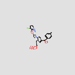 Cc1ccc(C(=O)c2ccc(N3CCC(Oc4ncccc4F)C3)c(CCO)c2)cc1